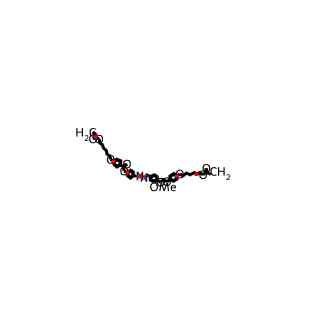 C=CC(=O)OCCCCCCOc1ccc(OCOc2ccc(/C=N/N=C/c3ccc(OC(=O)c4ccc(OCCCCCCOC(=O)C=C)cc4)cc3)cc2OC)cc1